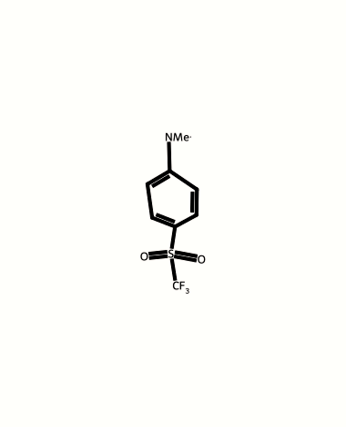 C[N]c1ccc(S(=O)(=O)C(F)(F)F)cc1